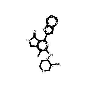 N[C@H]1COCC[C@H]1Nc1nc(-c2cc3ncccc3s2)c2c(c1F)CNC2=O